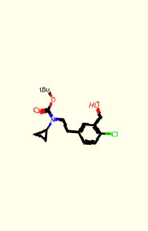 CC(C)(C)OC(=O)N(CCc1ccc(Cl)c(CO)c1)C1CC1